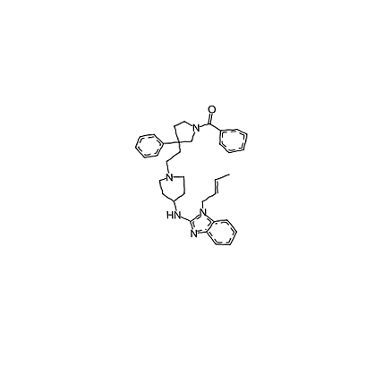 C/C=C/Cn1c(NC2CCN(CCC3(c4ccccc4)CCN(C(=O)c4ccccc4)C3)CC2)nc2ccccc21